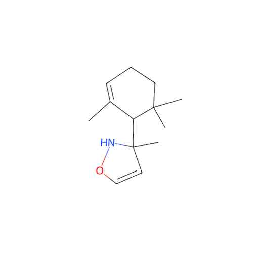 CC1=CCCC(C)(C)C1C1(C)C=CON1